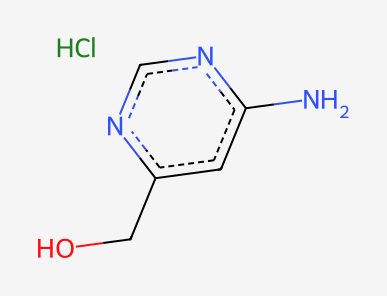 Cl.Nc1cc(CO)ncn1